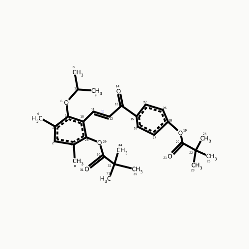 Cc1cc(C)c(OC(C)C)c(/C=C/C(=O)c2ccc(OC(=O)C(C)(C)C)cc2)c1OC(=O)C(C)(C)C